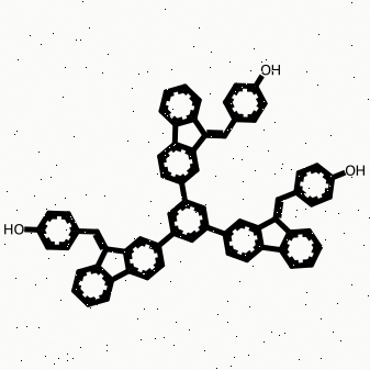 Oc1ccc(/C=C2\c3ccccc3-c3ccc(-c4cc(-c5ccc6c(c5)/C(=C/c5ccc(O)cc5)c5ccccc5-6)cc(-c5ccc6c(c5)/C(=C/c5ccc(O)cc5)c5ccccc5-6)c4)cc32)cc1